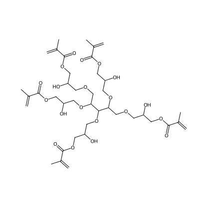 C=C(C)C(=O)OCC(O)COCC(OCC(O)COC(=O)C(=C)C)C(OCC(O)COC(=O)C(=C)C)C(COCC(O)COC(=O)C(=C)C)OCC(O)COC(=O)C(=C)C